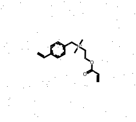 C=CC(=O)OCC[N+](C)(C)Cc1ccc(C=C)cc1